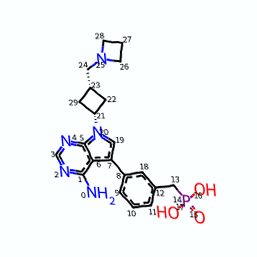 Nc1ncnc2c1c(-c1cccc(CP(=O)(O)O)c1)cn2[C@H]1C[C@@H](CN2CCC2)C1